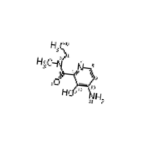 CCN(C)C(=O)c1nccc(N)c1O